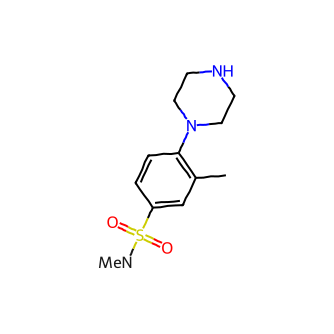 CNS(=O)(=O)c1ccc(N2CCNCC2)c(C)c1